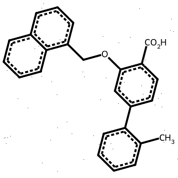 Cc1ccccc1-c1ccc(C(=O)O)c(OCc2cccc3ccccc23)c1